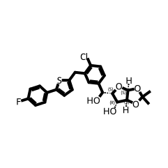 CC1(C)O[C@@H]2O[C@@H](C(O)c3ccc(Cl)c(Cc4ccc(-c5ccc(F)cc5)s4)c3)[C@@H](O)[C@@H]2O1